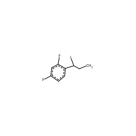 [CH2]CC(I)c1ccc(F)cc1F